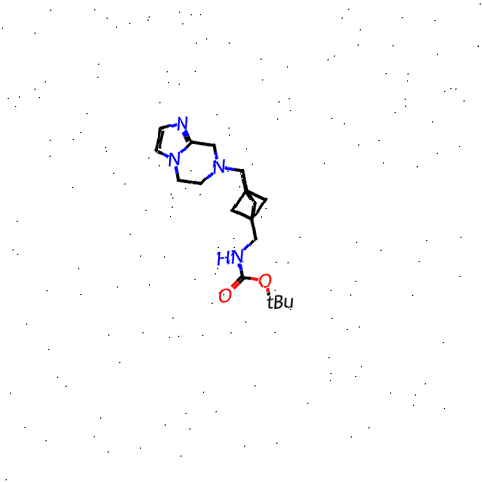 CC(C)(C)OC(=O)NCC12CC(CN3CCn4ccnc4C3)(C1)C2